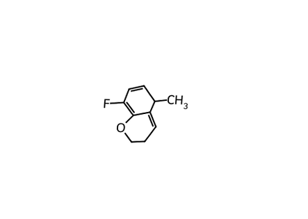 CC1C=CC(F)=C2OCCC=C21